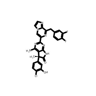 C[C@]1(c2ccc(Cl)c(O)c2)C(=O)Nc2nc(-c3cn4ccnc4c(Cc4ccc(F)c(F)c4)n3)nc(N)c21